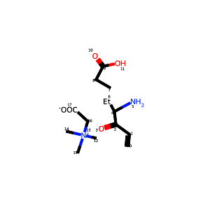 C=CC(=O)C(N)CC.CCC(=O)O.C[N+](C)(C)CC(=O)[O-]